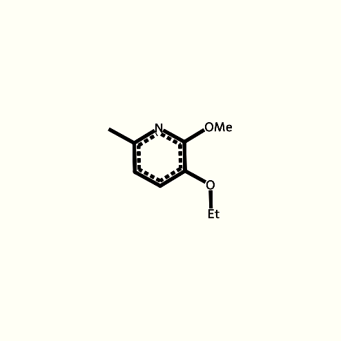 CCOc1ccc(C)nc1OC